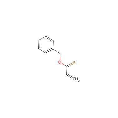 C=CC(=S)OCc1ccccc1